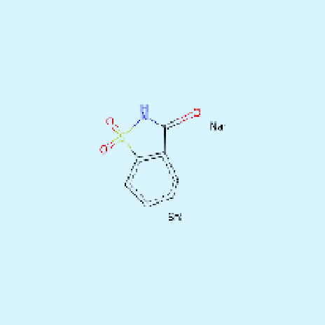 O=C1NS(=O)(=O)c2ccccc21.[Na].[Sn]